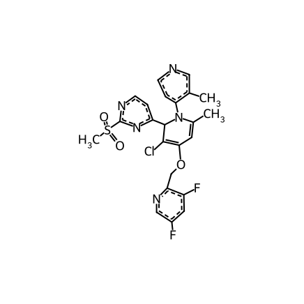 CC1=CC(OCc2ncc(F)cc2F)=C(Cl)C(c2ccnc(S(C)(=O)=O)n2)N1c1ccncc1C